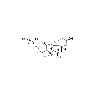 C[C@H](CC[C@@H](O)C(C)(C)O)[C@H]1CC[C@H]2[C@@H]3[C@H](O)C[C@@H]4C[C@H](O)CC[C@]4(C)[C@H]3C[C@H](O)[C@]12C